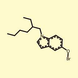 CCCCC(CC)Cn1ccc2cc(OBr)ccc21